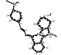 CN(C)c1ccc(C=CC=c2c3ccccc3c3n2c2ccccc2[n+]3C)cc1.[I-]